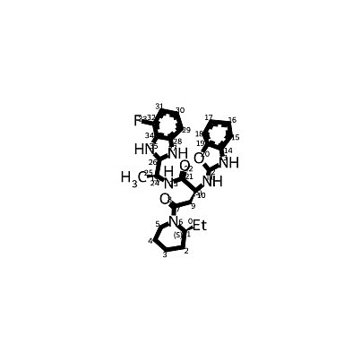 CC[C@H]1CCCCN1C(=O)C[C@H](NC1Nc2ccccc2O1)C(=O)N[C@@H](C)C1Nc2cccc(F)c2N1